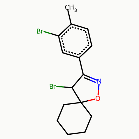 Cc1ccc(C2=NOC3(CCCCC3)C2Br)cc1Br